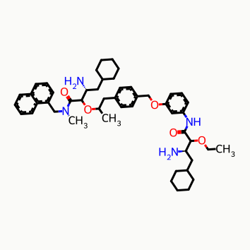 CCOC(C(=O)Nc1cccc(OCc2ccc(CC(C)OC(C(=O)N(C)Cc3cccc4ccccc34)[C@H](N)CC3CCCCC3)cc2)c1)[C@H](N)CC1CCCCC1